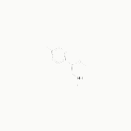 CNCC(OC)c1ccc(F)cc1